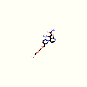 CCOCCOCC1CCCN(c2ccnc3sc(C(N)=O)c(N)c23)C1